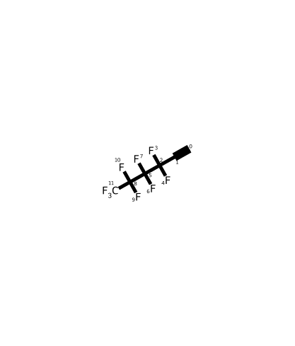 C#CC(F)(F)C(F)(F)C(F)(F)C(F)(F)F